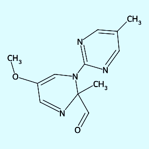 COC1=CN(c2ncc(C)cn2)C(C)(C=O)N=C1